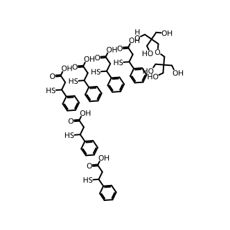 O=C(O)CC(S)c1ccccc1.O=C(O)CC(S)c1ccccc1.O=C(O)CC(S)c1ccccc1.O=C(O)CC(S)c1ccccc1.O=C(O)CC(S)c1ccccc1.O=C(O)CC(S)c1ccccc1.OCC(CO)(CO)COCC(CO)(CO)CO